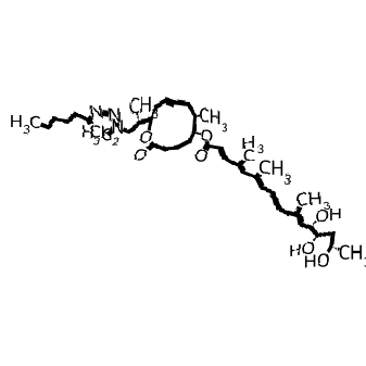 C=C(CCCCC)/N=N\N(C)C[C@H](C)[C@H]1C/C=C/C[C@H](C)[C@@H](OC(=O)/C=C/C(C)=C/C(C)=C/C=C/C(C)=C/[C@H](O)[C@@H](O)C[C@H](C)O)CCCC(=O)O1